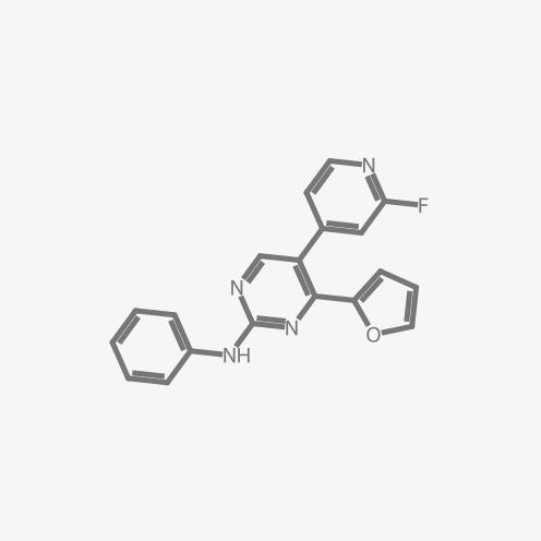 Fc1cc(-c2cnc(Nc3ccccc3)nc2-c2ccco2)ccn1